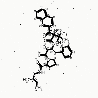 CC[C@H](C)CNC(=O)[C@@H]1CCCN1C(=O)C(O)[C@H](Cc1ccccc1)NC(=O)[C@](N)(C(=O)c1ccc2ccccc2n1)C(C)(C)C